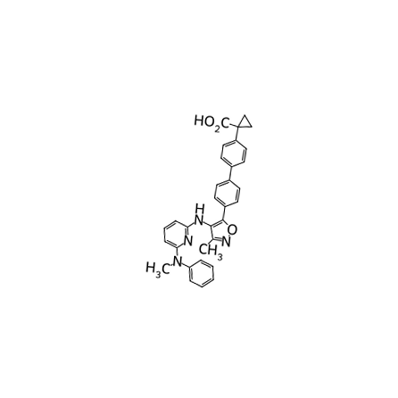 Cc1noc(-c2ccc(-c3ccc(C4(C(=O)O)CC4)cc3)cc2)c1Nc1cccc(N(C)c2ccccc2)n1